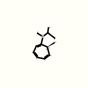 CC(C)N(C)C1=CC=CC=C[C@@H]1C